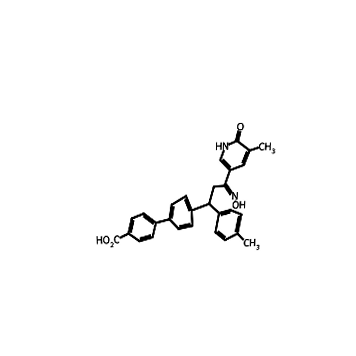 Cc1ccc(C(C/C(=N\O)c2c[nH]c(=O)c(C)c2)c2ccc(-c3ccc(C(=O)O)cc3)cc2)cc1